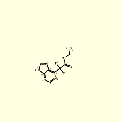 CCOC(=O)C(F)(F)c1ncnc2[nH]ccc12